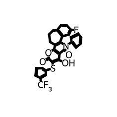 O=c1oc2c3c(n(-c4ccccc4)c(=O)c2c(O)c1Sc1cccc(C(F)(F)F)c1)-c1cc(F)ccc1CCC3